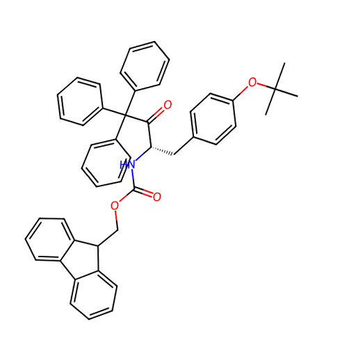 CC(C)(C)Oc1ccc(C[C@H](NC(=O)OCC2c3ccccc3-c3ccccc32)C(=O)C(c2ccccc2)(c2ccccc2)c2ccccc2)cc1